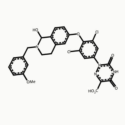 COc1cccc(CN2CCc3cc(Oc4c(Cl)cc(-n5nc(C(=O)O)c(=O)[nH]c5=O)cc4Cl)ccc3C2O)c1